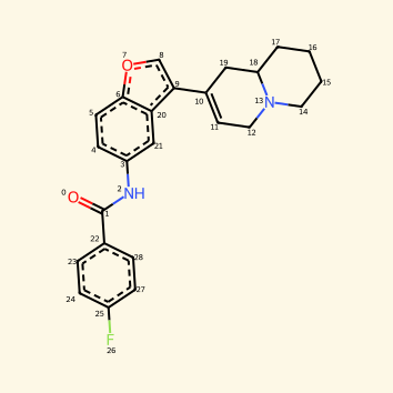 O=C(Nc1ccc2occ(C3=CCN4CCCCC4C3)c2c1)c1ccc(F)cc1